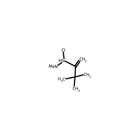 C=C([SiH](Cl)NC)C(C)(C)C